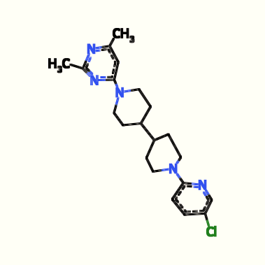 Cc1cc(N2CCC(C3CCN(c4ccc(Cl)cn4)CC3)CC2)nc(C)n1